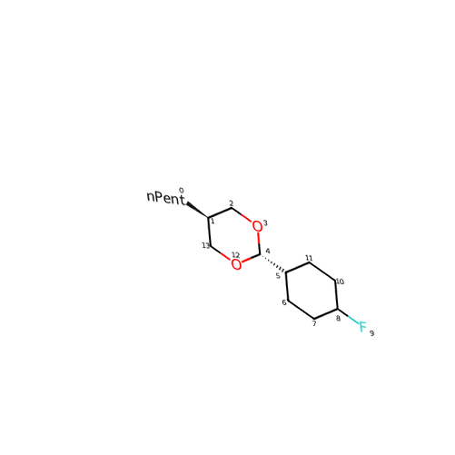 CCCCC[C@H]1CO[C@H](C2CCC(F)CC2)OC1